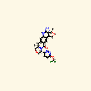 C[C@H]1OCc2c1c(N)nc1cc3c(cc21)C(=O)N1[C@@H](COC[C@@H]1c1ccc(OC(F)F)nn1)C3